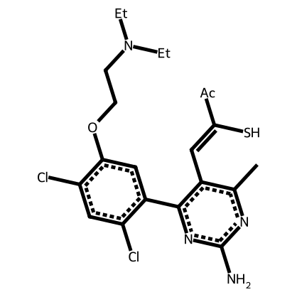 CCN(CC)CCOc1cc(-c2nc(N)nc(C)c2/C=C(\S)C(C)=O)c(Cl)cc1Cl